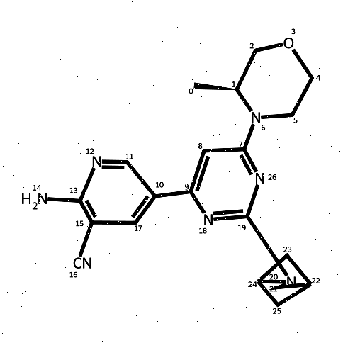 C[C@H]1COCCN1c1cc(-c2cnc(N)c(C#N)c2)nc(N2CC3CC2C3)n1